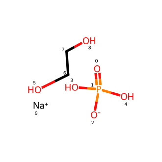 O=P([O-])(O)O.OCCO.[Na+]